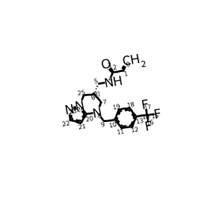 C=CC(=O)NC[C@@H]1CN(Cc2ccc(C(F)(F)F)cc2)c2ccnn2C1